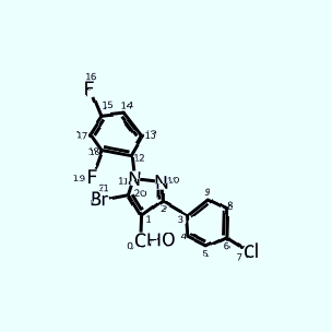 O=Cc1c(-c2ccc(Cl)cc2)nn(-c2ccc(F)cc2F)c1Br